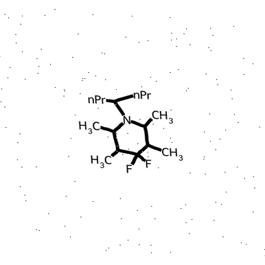 CCCC(CCC)N1C(C)C(C)C(F)(F)C(C)C1C